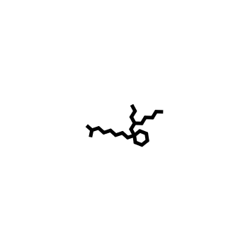 CCCCCC(CCC)CC1(CCCCCCC(C)C)CCCCC1